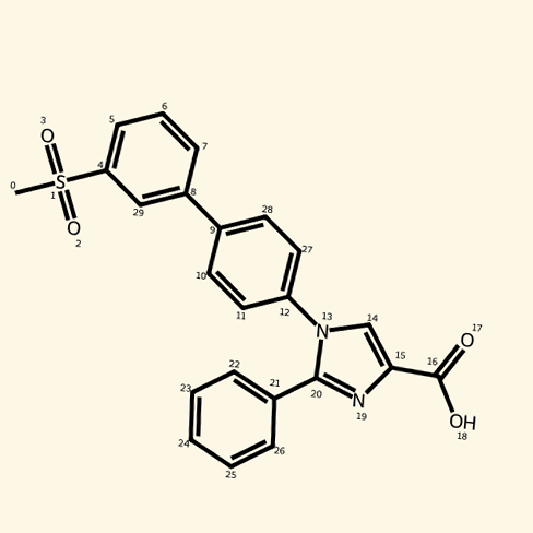 CS(=O)(=O)c1cccc(-c2ccc(-n3cc(C(=O)O)nc3-c3ccccc3)cc2)c1